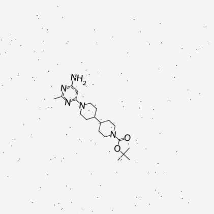 Cc1nc(N)cc(N2CCC(C3CCN(C(=O)OC(C)(C)C)CC3)CC2)n1